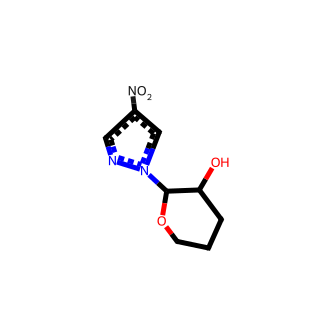 O=[N+]([O-])c1cnn(C2OCCCC2O)c1